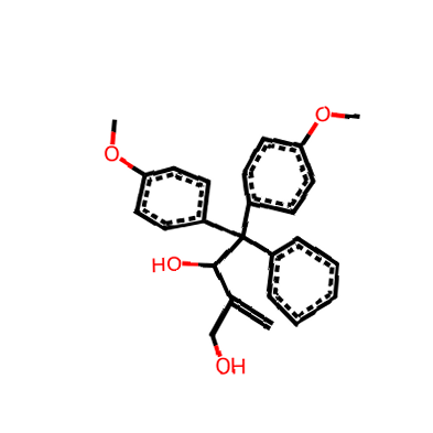 C=C(CO)C(O)C(c1ccccc1)(c1ccc(OC)cc1)c1ccc(OC)cc1